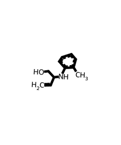 C=CC(CO)Nc1ccccc1C